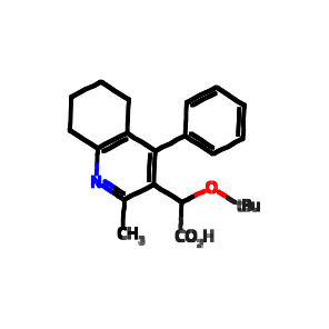 Cc1nc2c(c(-c3ccccc3)c1C(OC(C)(C)C)C(=O)O)CCCC2